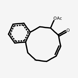 CC(=O)OC1Cc2ccccc2C[C]C/C=C\C1=O